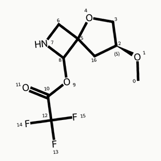 CO[C@@H]1COC2(CNC2OC(=O)C(F)(F)F)C1